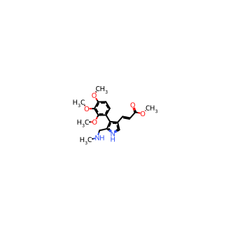 CNCc1[nH]cc(C=CC(=O)OC)c1-c1ccc(OC)c(OC)c1OC